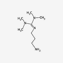 CN(C)C(=NCCCN)N(C)C